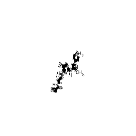 Cc1nn(C2CCN(C)CC2)cc1Nc1ncc(Br)c(NCCCNC(=O)C2COC2)n1